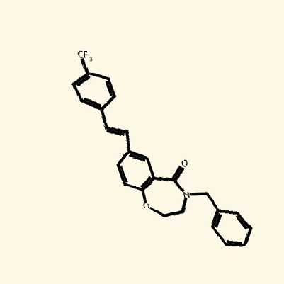 O=C1c2cc(/C=C/c3ccc(C(F)(F)F)cc3)ccc2OCCN1Cc1ccccc1